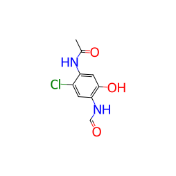 CC(=O)Nc1cc(O)c(NC=O)cc1Cl